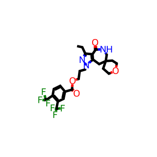 CCc1nn(CCCOC(=O)c2ccc(C(F)(F)F)c(C(F)(F)F)c2)c2c1C(=O)NCC1(CCOCC1)C2